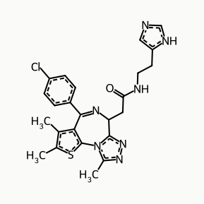 Cc1sc2c(c1C)C(c1ccc(Cl)cc1)=NC(CC(=O)NCCc1cnc[nH]1)c1nnc(C)n1-2